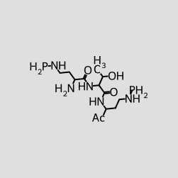 CC(=O)C(CCNP)NC(=O)C(NC(=O)C(N)CCNP)C(C)O